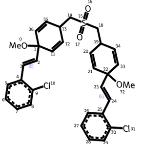 COC1(/C=C/c2ccccc2Cl)C=CC(CS(=O)(=O)CC2C=CC(/C=C/c3ccccc3Cl)(OC)C=C2)C=C1